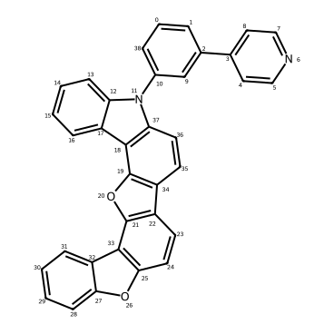 c1cc(-c2ccncc2)cc(-n2c3ccccc3c3c4oc5c(ccc6oc7ccccc7c65)c4ccc32)c1